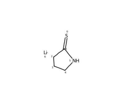 S=C1CCCN1.[Li]